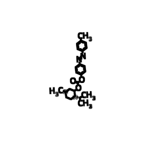 Cc1ccc(N=Nc2ccc(OC(=O)OC3C[C@H](C)CC[C@H]3C(C)C)cc2)cc1